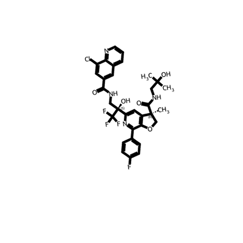 CC(C)(O)CNC(=O)[C@@]1(C)COc2c1cc([C@@](O)(CNC(=O)c1cc(Cl)c3ncccc3c1)C(F)(F)F)nc2-c1ccc(F)cc1